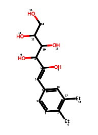 CCc1ccc(C=C(O)C(O)C(O)C(O)CO)cc1CC